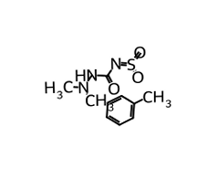 CN(C)NC(=O)N=S(=O)=O.Cc1ccccc1